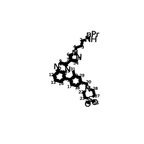 CCCNCCCn1cc(-c2cnc3cccc(-c4ccc(CN5CCS(=O)(=O)CC5)cc4C)c3n2)cn1